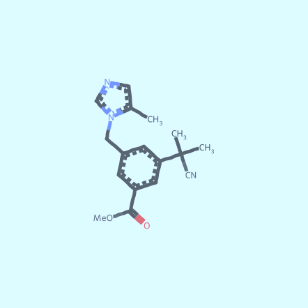 COC(=O)c1cc(Cn2cncc2C)cc(C(C)(C)C#N)c1